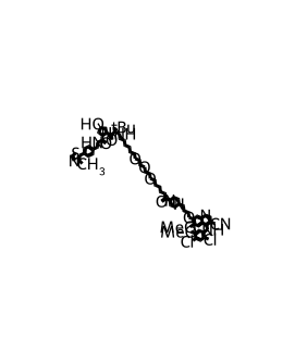 COc1cc(Nc2c(C#N)cnc3cc(OCCCN4CCN(C(=O)CCCCCOCCOCCOCCCCCCNC(C(=O)N5C[C@H](O)C[C@H]5C(=O)NCc5ccc(-c6scnc6C)cc5)C(C)(C)C)CC4)c(OC)cc23)c(Cl)cc1Cl